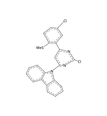 CSc1ccc(Cl)cc1-c1cc(-n2c3ccccc3c3ccccc32)nc(Cl)n1